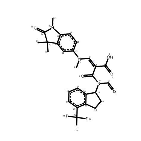 CN(/C=C(/C(=O)O)C(=O)N(C=O)C1CCc2c1cccc2C(F)(F)F)c1ccc2c(c1)C(C)(C)C(=O)N2C